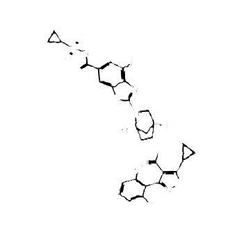 O=C(NS(=O)(=O)C1CC1)c1cc(F)c2nc(N3C[C@H]4C[C@H]3C[C@H]4OC(=O)c3c(-c4c(Cl)cccc4Cl)noc3C3CC3)sc2c1